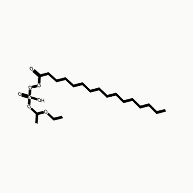 CCCCCCCCCCCCCCCC(=O)OOP(=O)(O)OC(C)OCC